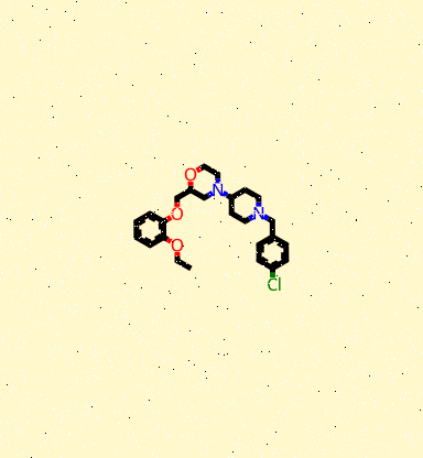 CCOc1ccccc1OCC1CN(C2CCN(Cc3ccc(Cl)cc3)CC2)CCO1